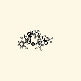 CCN(C(=O)OC(C)C)C(C)N1C(=O)c2cccc(c2)S(=O)(=O)Nc2nc(cc(-c3c(C)cccc3C)n2)OCC1CC(C)C